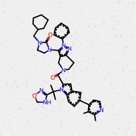 Cc1nccc(-c2ccc3c(c2)cc(C(=O)N2CCc4nn(-c5ccccc5)c(N5CCN(CC6CCCCC6)C5=O)c4C2)n3C(C)(C)C2=NOCN2)c1C